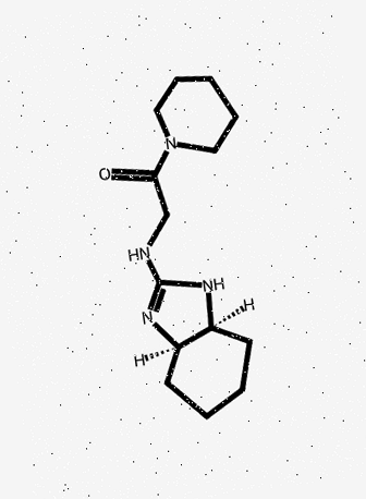 O=C(CNC1=N[C@@H]2CCCC[C@@H]2N1)N1CCCCC1